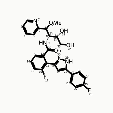 COC(c1ccccn1)[C@@H](NC(=O)c1cccc(F)c1-c1cc(-c2ccc(F)cc2)[nH]n1)[C@H](O)CO